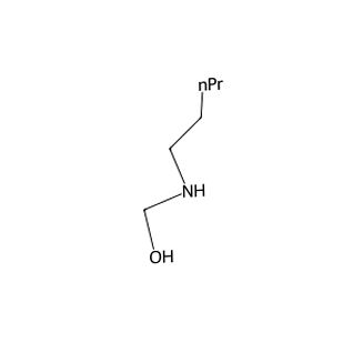 [CH2]CCCCNCO